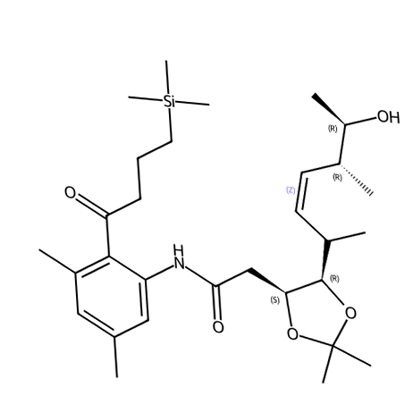 Cc1cc(C)c(C(=O)CCC[Si](C)(C)C)c(NC(=O)C[C@@H]2OC(C)(C)O[C@@H]2C(C)/C=C\[C@@H](C)[C@@H](C)O)c1